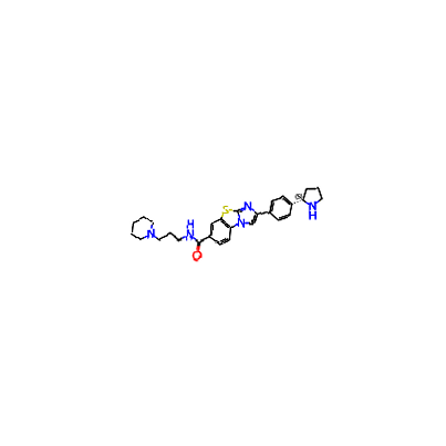 O=C(NCCCN1CCCCC1)c1ccc2c(c1)sc1nc(-c3ccc([C@@H]4CCCN4)cc3)cn12